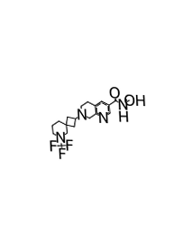 O=C(NO)c1cnc2c(c1)CCN(C1CC3(CCCN(C(F)(F)F)C3)C1)C2